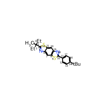 CCC(C)(CC)c1nc2cc3sc(-c4ccc(C(C)(C)C)cc4)nc3cc2s1